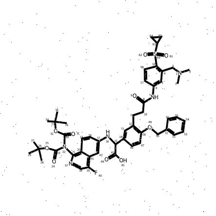 CN(C)Cc1cc(NC(=O)CCc2cc(C(Nc3ccc4c(N(C(=O)OC(C)(C)C)C(=O)OC(C)(C)C)ncc(F)c4c3)C(=O)O)ccc2OCc2ccccc2)ccc1S(=O)(=O)C1CC1